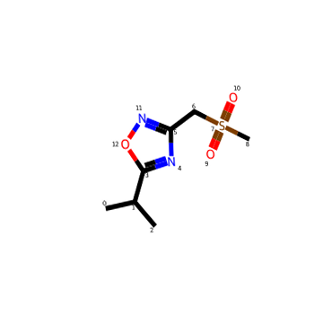 CC(C)c1nc(CS(C)(=O)=O)no1